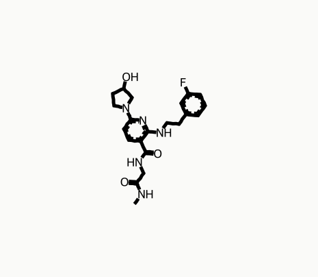 CNC(=O)CNC(=O)c1ccc(N2CCC(O)C2)nc1NCCc1cccc(F)c1